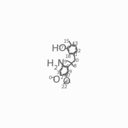 COc1cc(N)c(C(C)(C)Cc2ccc(C)c(O)c2)cc1OC